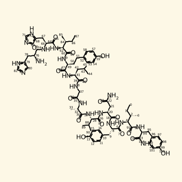 CC[C@H](C)[C@H](NC(=O)[C@H](Cc1ccc(O)cc1)NC(=O)[C@H](CC(N)=O)NC(=O)[C@@H](NC(=O)[C@H](C)NC(=O)CNC(=O)[C@H](CC(C)C)NC(=O)[C@H](CCc1ccc(O)cc1)NC(=O)[C@@H](NC(=O)[C@H](Cc1cnc[nH]1)NC(=O)[C@@H](N)Cc1cnc[nH]1)[C@@H](C)CC)C(C)C)C(=O)N[C@@H](Cc1ccc(O)cc1)C(N)=O